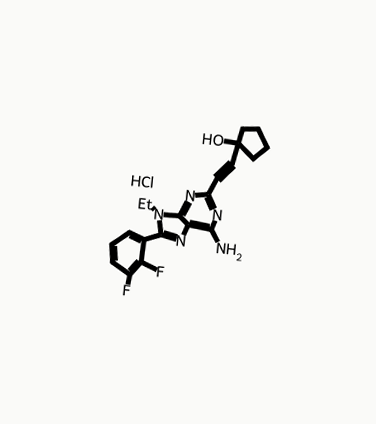 CCn1c(-c2cccc(F)c2F)nc2c(N)nc(C#CC3(O)CCCC3)nc21.Cl